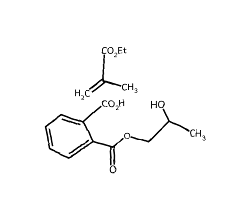 C=C(C)C(=O)OCC.CC(O)COC(=O)c1ccccc1C(=O)O